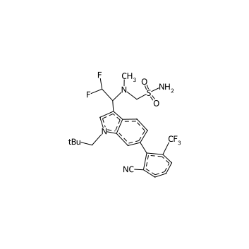 CN(CS(N)(=O)=O)C(c1cn(CC(C)(C)C)c2cc(-c3c(C#N)cccc3C(F)(F)F)ccc12)C(F)F